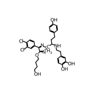 CC(CCc1ccc(O)cc1)NCCc1ccc(O)c(O)c1.OCCCCOc1nsnc1-c1ccc(Cl)c(Cl)c1